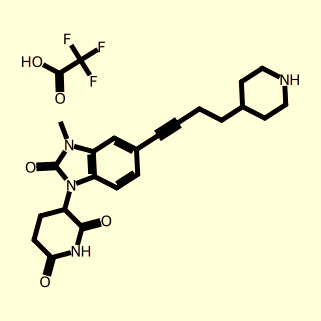 Cn1c(=O)n(C2CCC(=O)NC2=O)c2ccc(C#CCCC3CCNCC3)cc21.O=C(O)C(F)(F)F